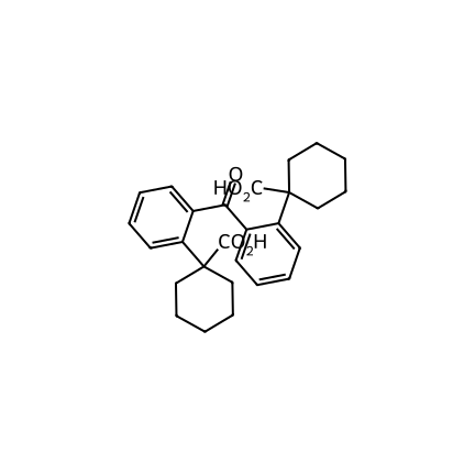 O=C(c1ccccc1C1(C(=O)O)CCCCC1)c1ccccc1C1(C(=O)O)CCCCC1